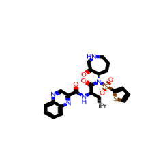 CC(C)CC(NC(=O)c1cnc2ccccc2n1)C(=O)N([C@H]1CCCNCC1=O)S(=O)(=O)c1cccs1